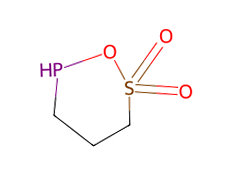 O=S1(=O)CCCPO1